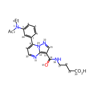 CCN(C(C)=O)c1cccc(-c2ccnc3c(C(=O)NCCCC(=O)O)cnn23)c1